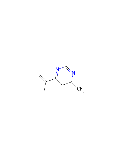 C=C(C)C1=NC=NC(C(F)(F)F)C1